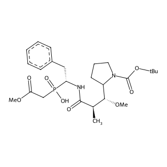 COC(=O)CP(=O)(O)[C@H](Cc1ccccc1)NC(=O)[C@H](C)[C@@H](OC)C1CCCN1C(=O)OC(C)(C)C